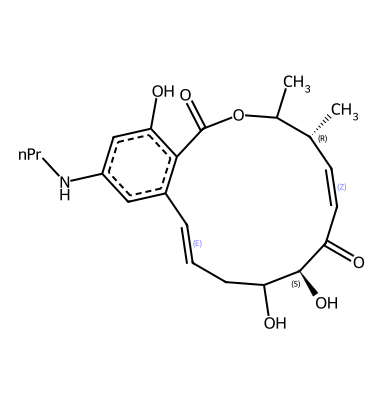 CCCNc1cc(O)c2c(c1)/C=C/CC(O)[C@H](O)C(=O)/C=C\[C@@H](C)C(C)OC2=O